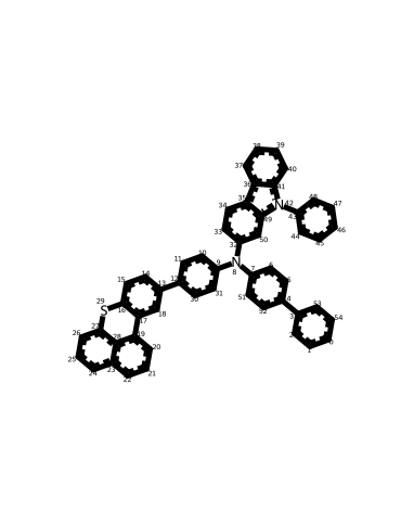 c1ccc(-c2ccc(N(c3ccc(-c4ccc5c(c4)-c4cccc6cccc(c46)S5)cc3)c3ccc4c5ccccc5n(-c5ccccc5)c4c3)cc2)cc1